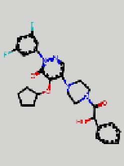 O=C(C(O)c1ccccc1)N1CCN(c2cnn(-c3cc(F)cc(F)c3)c(=O)c2OC2CCCC2)CC1